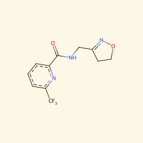 O=C(NCC1=NOCC1)c1cccc(C(F)(F)F)n1